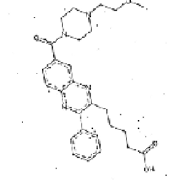 COCCN1CCN(C(=O)c2ccc3nc(-c4ccccc4)c(CCCCC(=O)O)nc3c2)CC1